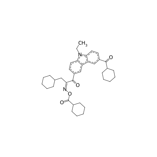 CCn1c2ccc(C(=O)/C(CC3CCCCC3)=N\OC(=O)C3CCCCC3)cc2c2cc(C(=O)C3CCCCC3)ccc21